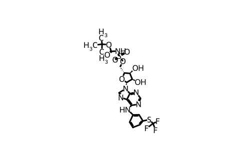 CC(C)(C)OC(=O)NS(=O)(=O)OC[C@H]1O[C@@H](n2cnc3c(Nc4cccc(SC(F)(F)F)c4)ncnc32)[C@H](O)[C@@H]1O